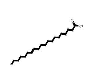 CCCCCCC=CCCCCCCCC=CC=CC(=O)O